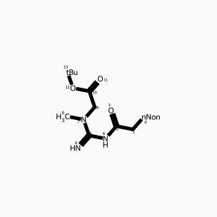 CCCCCCCCCCC(=O)NC(=N)N(C)CC(=O)OC(C)(C)C